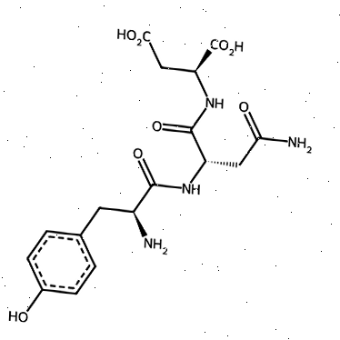 NC(=O)C[C@H](NC(=O)[C@@H](N)Cc1ccc(O)cc1)C(=O)N[C@@H](CC(=O)O)C(=O)O